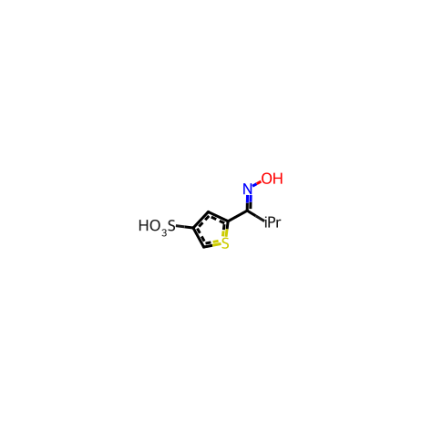 CC(C)C(=NO)c1cc(S(=O)(=O)O)cs1